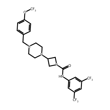 O=C(Nc1cc(C(F)(F)F)cc(C(F)(F)F)c1)N1CC(N2CCN(Cc3ccc(OC(F)(F)F)cc3)CC2)C1